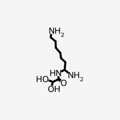 NCCCCCCC(N)NC(=O)C(O)O